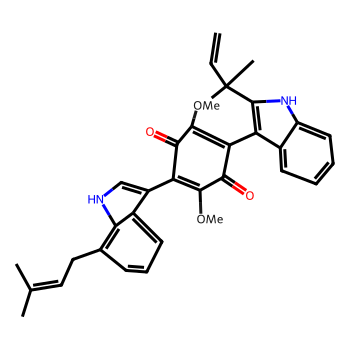 C=CC(C)(C)c1[nH]c2ccccc2c1C1=C(OC)C(=O)C(c2c[nH]c3c(CC=C(C)C)cccc23)=C(OC)C1=O